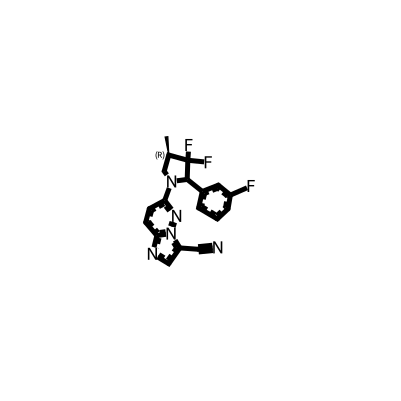 C[C@@H]1CN(c2ccc3ncc(C#N)n3n2)C(c2cccc(F)c2)C1(F)F